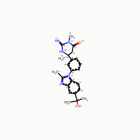 Cc1nc2cc(C(C)(C)O)ccc2n1-c1cccc([C@]2(C)CC(=O)N(C)C(=N)N2)c1